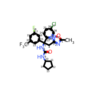 Cc1nc(CC(NC(=O)NC2CCCC2)(c2cc(F)cc(C(F)(F)F)c2)c2ccc(Cl)cn2)no1